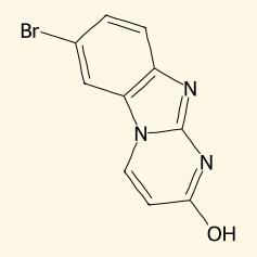 Oc1ccn2c(n1)nc1ccc(Br)cc12